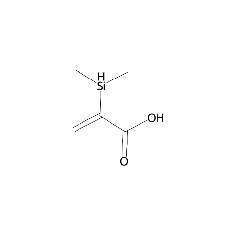 C=C(C(=O)O)[SiH](C)C